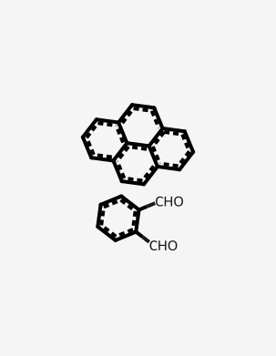 O=Cc1ccccc1C=O.c1cc2ccc3cccc4ccc(c1)c2c34